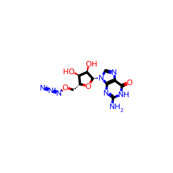 [N-]=[N+]=NOC[C@H]1O[C@@H](n2cnc3c(=O)[nH]c(N)nc32)[C@H](O)[C@@H]1O